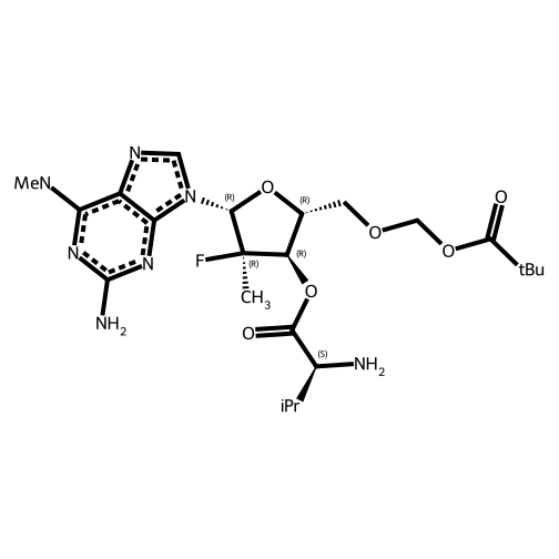 CNc1nc(N)nc2c1ncn2[C@@H]1O[C@H](COCOC(=O)C(C)(C)C)[C@@H](OC(=O)[C@@H](N)C(C)C)[C@@]1(C)F